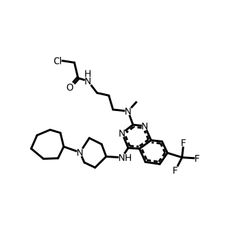 CN(CCCNC(=O)CCl)c1nc(NC2CCN(C3CCCCCC3)CC2)c2ccc(C(F)(F)F)cc2n1